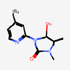 CC1C(O)N(c2cc(C(C)(C)C)ccn2)C(=O)N1C